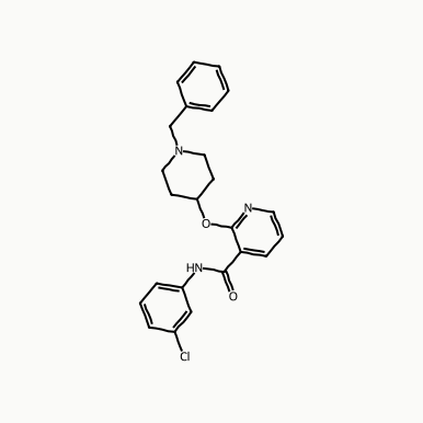 O=C(Nc1cccc(Cl)c1)c1cccnc1OC1CCN(Cc2ccccc2)CC1